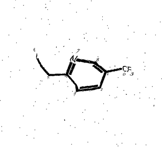 FC(F)(F)c1ccc(CI)nc1